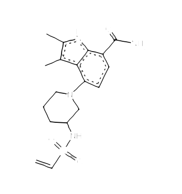 C=CS(=O)(=O)NC1CCCN(c2ccc(C(N)=O)c3[nH]c(C)c(C)c23)C1